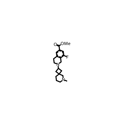 COC(=O)c1cc(F)c2c(c1)CCN(C1CC3(CCCN(C)C3)C1)C2